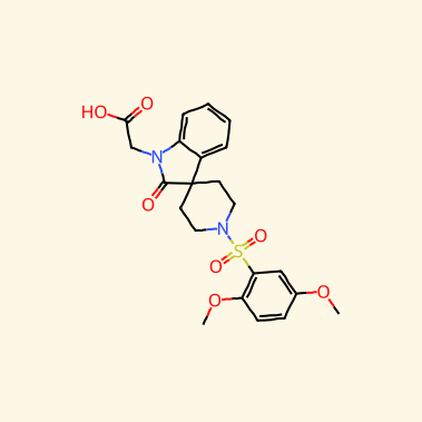 COc1ccc(OC)c(S(=O)(=O)N2CCC3(CC2)C(=O)N(CC(=O)O)c2ccccc23)c1